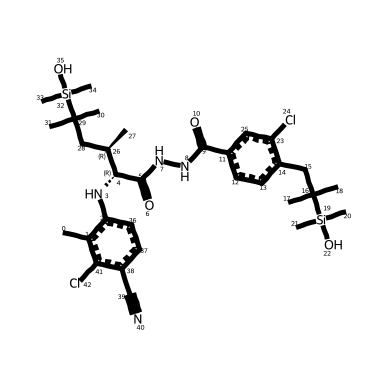 Cc1c(N[C@@H](C(=O)NNC(=O)c2ccc(CC(C)(C)[Si](C)(C)O)c(Cl)c2)[C@H](C)CC(C)(C)[Si](C)(C)O)ccc(C#N)c1Cl